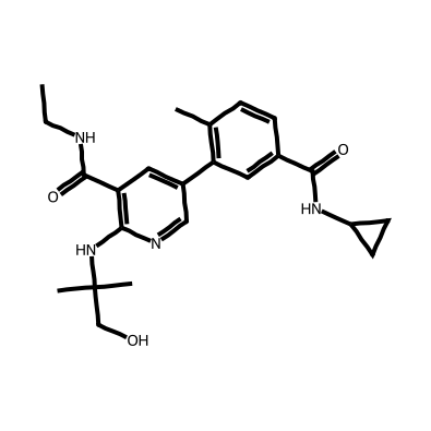 CCNC(=O)c1cc(-c2cc(C(=O)NC3CC3)ccc2C)cnc1NC(C)(C)CO